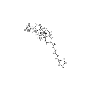 C[C@]12CCC(OCCOCCN3CCCC3)C=C1CC[C@@H]1[C@H]2CC[C@]2(C)C(c3ccoc3)CC3O[C@]312